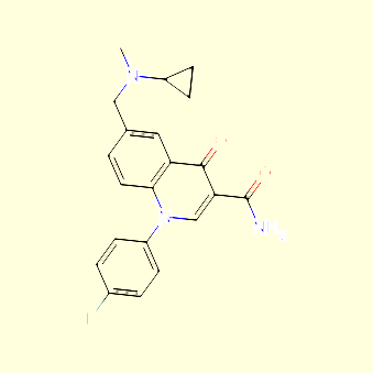 CN(Cc1ccc2c(c1)c(=O)c(C(N)=O)cn2-c1ccc(F)cc1)C1CC1